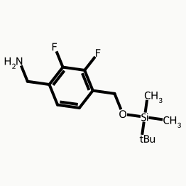 CC(C)(C)[Si](C)(C)OCc1ccc(CN)c(F)c1F